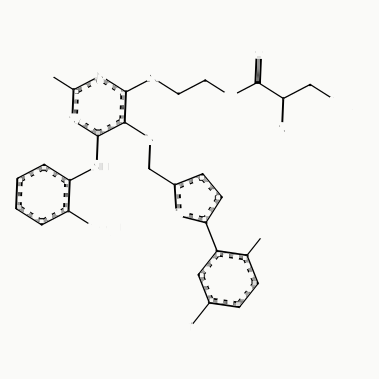 Cc1nc(NCCOC(=O)C(N)CC(=O)O)c(NCc2ccc(-c3cc(Cl)ccc3Cl)o2)c(Nc2ccccc2C(=O)O)n1